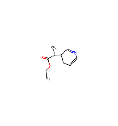 CC(C(=O)OCC(F)(F)F)C1C=NC=CC1